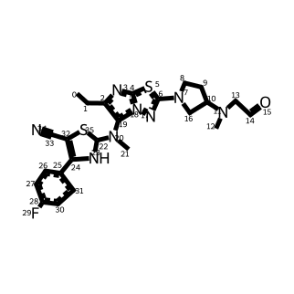 CCc1nc2sc(N3CCC(N(C)CC=O)C3)nn2c1N(C)C1NC(c2ccc(F)cc2)=C(C#N)S1